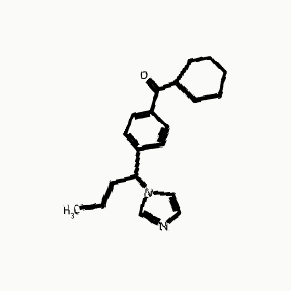 CCCC(c1ccc(C(=O)C2CCCCC2)cc1)n1ccnc1